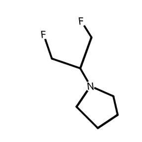 FCC(CF)N1CCCC1